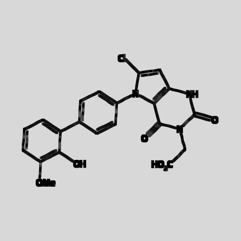 COc1cccc(-c2ccc(-n3c(Cl)cc4[nH]c(=O)n(CC(=O)O)c(=O)c43)cc2)c1O